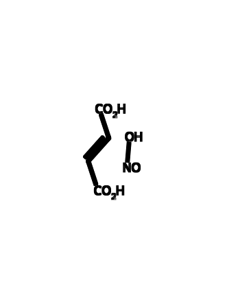 O=C(O)/C=C/C(=O)O.O=NO